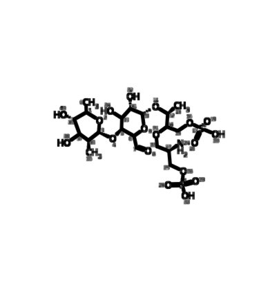 CC1O[C@@H](O[C@@H]2C(C=O)O[C@@H](O[C@@H](C)C(COS(=O)(=O)O)OC[C@@H](N)COS(=O)(=O)O)[C@@H](O)C2O)[C@@H](C)C(O)[C@@H]1O